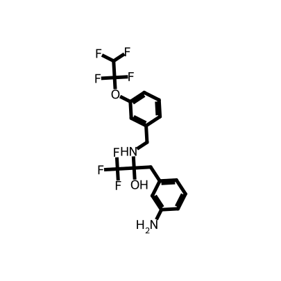 Nc1cccc(CC(O)(NCc2cccc(OC(F)(F)C(F)F)c2)C(F)(F)F)c1